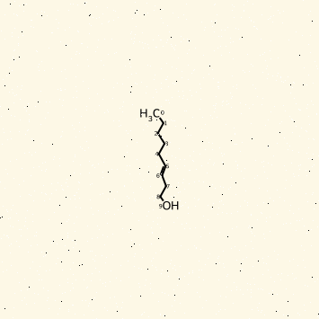 CCCCC/C=C/CCO